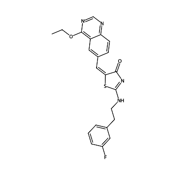 CCOc1ncnc2ccc(/C=C3/SC(NCCc4cccc(F)c4)=NC3=O)cc12